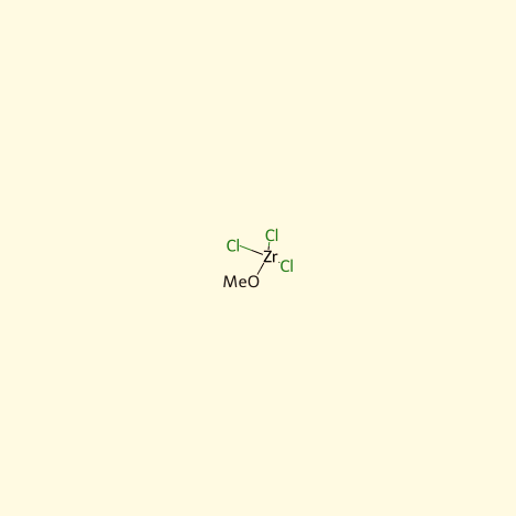 C[O][Zr]([Cl])([Cl])[Cl]